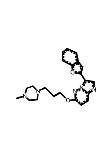 CN1CCN(CCCOc2ccc3ncc(-c4cc5ccccc5o4)n3n2)CC1